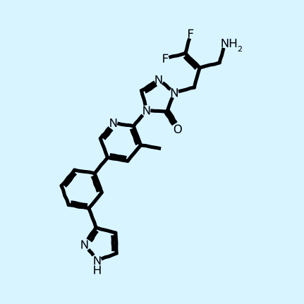 Cc1cc(-c2cccc(-c3cc[nH]n3)c2)cnc1-n1cnn(CC(CN)=C(F)F)c1=O